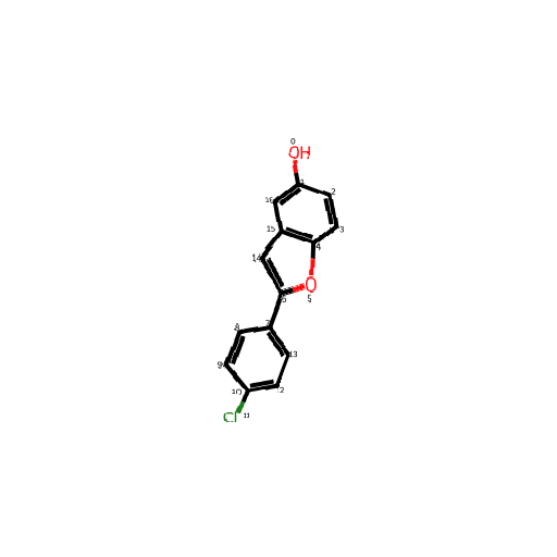 Oc1ccc2oc(-c3ccc(Cl)cc3)cc2c1